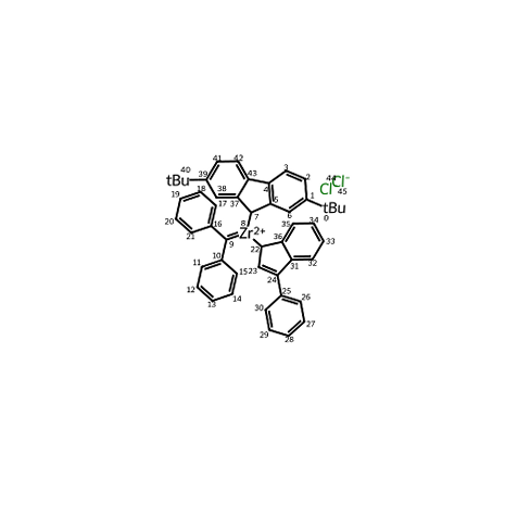 CC(C)(C)c1ccc2c(c1)[CH]([Zr+2](=[C](c1ccccc1)c1ccccc1)[CH]1C=C(c3ccccc3)c3ccccc31)c1cc(C(C)(C)C)ccc1-2.[Cl-].[Cl-]